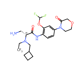 NC[C@H](C(=O)Nc1ccc(N2CCOCC2=O)cc1OC(F)F)N(CC1CCC1)CC(F)(F)F